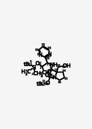 CC(O[Si](C)(C)C(C)(C)C)C(NC(=O)C1(CO)CCCN1C(=O)OC(C)(C)C)c1ncccn1